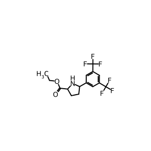 CCOC(=O)C1CCC(c2cc(C(F)(F)F)cc(C(F)(F)F)c2)N1